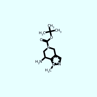 Cn1ncc2c1C(N)CN(C(=O)OC(C)(C)C)C2